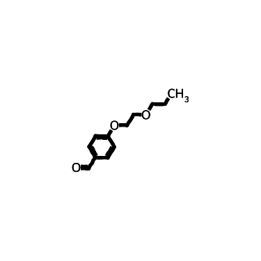 CCCOCCOc1ccc(C=O)cc1